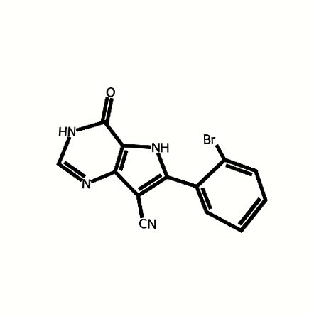 N#Cc1c(-c2ccccc2Br)[nH]c2c(=O)[nH]cnc12